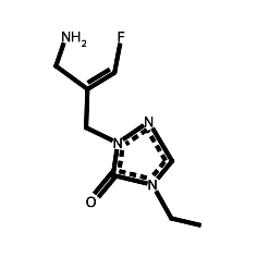 CCn1cnn(CC(=CF)CN)c1=O